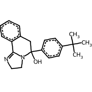 CC(C)(C)c1ccc(C2(O)Cc3ccccc3C3=NCCN32)cc1